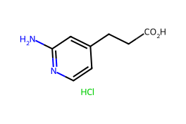 Cl.Nc1cc(CCC(=O)O)ccn1